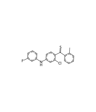 Cc1ccccc1C(=S)c1ccc(Nc2cccc(F)c2)cc1Cl